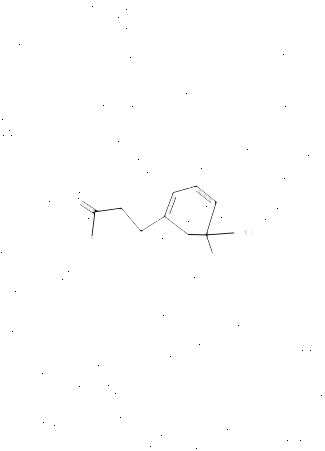 O=C(Cl)CCC1=CC=CC(O)(O)C1